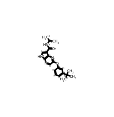 CC(C)NC(=O)c1c[nH]c2ncc(Oc3cccc(C(C)(C)C)c3)nc12